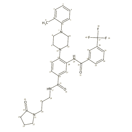 Cc1ccccc1N1CCN(c2ccc(C(=O)NCCCN3CCCC3=O)cc2NC(=O)c2cccc(C(F)(F)F)c2)CC1